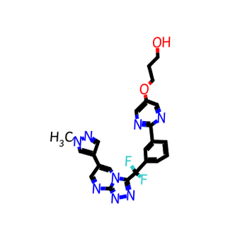 Cn1cc(-c2cnc3nnc(C(F)(F)c4cccc(-c5ncc(OCCCO)cn5)c4)n3c2)cn1